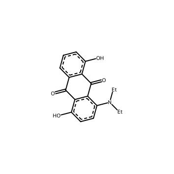 CCN(CC)c1ccc(O)c2c1C(=O)c1c(O)cccc1C2=O